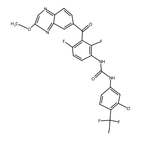 COc1cnc2ccc(C(=O)c3c(F)ccc(NC(=O)Nc4ccc(C(F)(F)F)c(Cl)c4)c3F)cc2n1